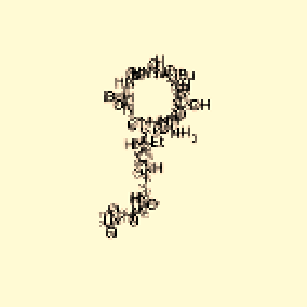 CCc1c(SC[C@@H]2NC(=O)CNC(=O)[C@H]([C@@H](C)CC)CNC(=O)CNC(=O)NC(=O)[C@H](C(C)CC)NC(=O)[C@@H]3C[C@@H](O)CN3C(=O)[C@H](CC(N)=O)NC2=O)[nH]c2ccc(NC(=O)CCCNC(=O)C(C)NC(=O)CCN3C(=O)C=CC3=O)cc12